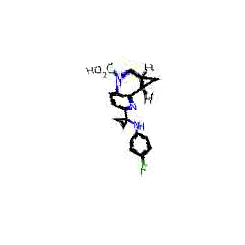 O=C(O)N1C[C@@H]2C[C@@H]2c2nc(C3(Nc4ccc(F)cc4)CC3)ccc21